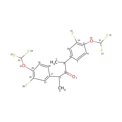 CC(C(=O)C(C)c1ccc(OC(F)F)c(F)c1)c1ccc(OC(F)F)c(F)c1